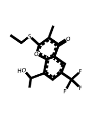 CCSc1oc2c(C(C)O)cc(C(F)(F)F)cc2c(=O)c1C